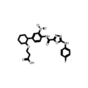 O=C(O)CCOC1CCCCC1c1ccc(NC(=O)c2nnc(Nc3ccc(F)cc3)o2)c([N+](=O)[O-])c1